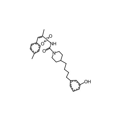 CC(=Cc1ccc(C)cc1)S(=O)(=O)NC(=O)N1CCC(CCCCc2cccc(O)c2)CC1